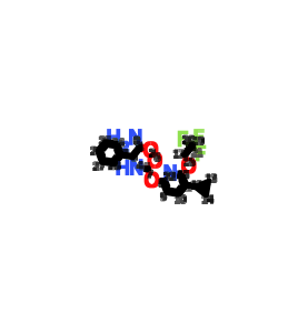 NC(=O)[C@@H](NC(=O)Oc1ccc(C2CC2)c(OCC(F)(F)F)n1)c1ccccc1